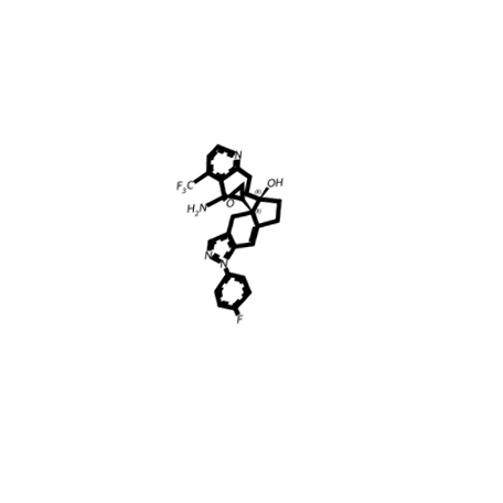 NC(=O)c1c(C(F)(F)F)ccnc1CC[C@]1(O)CCC2=Cc3c(cnn3-c3ccc(F)cc3)C[C@@]21C1CC1